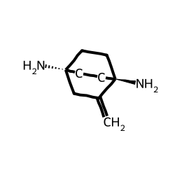 C=C1C[C@]2(N)CC[C@]1(N)CC2